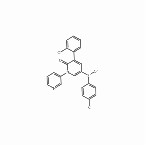 O=c1c(-c2ccccc2Cl)cc([S+]([O-])c2ccc(Cl)cc2)cn1-c1cccnc1